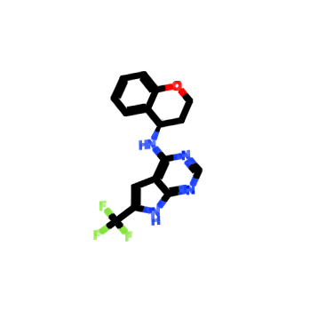 FC(F)(F)c1cc2c(N[C@@H]3CCOc4ccccc43)ncnc2[nH]1